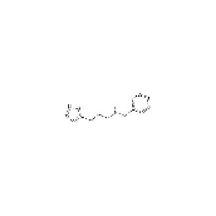 c1ccc(CNCCCn2ccnc2)nc1